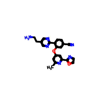 Cc1cc(Oc2cc(C#N)ccc2-c2ncc(CCN)cn2)cc(-c2ncco2)n1